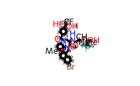 CN[C@@H](C)C(=O)N[C@H]1CN(C(=O)c2ccc(C(O)(O)C(F)(F)F)cc2)c2ccccc2N(Cc2c(OC)ccc3cc(Br)ccc23)C1=O.O=C(O)C(F)(F)F